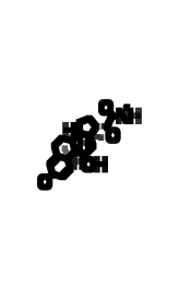 CNC(=O)C(=O)[C@H]1CC[C@H]2[C@@H]3CCC4=CC(=O)C=C[C@]4(C)[C@H]3[C@@H](O)C[C@]12C